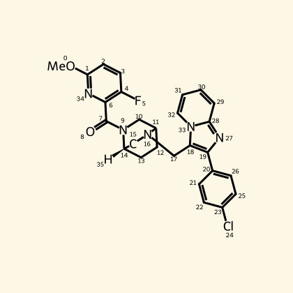 COc1ccc(F)c(C(=O)N2CC3CC[C@H]2CN3Cc2c(-c3ccc(Cl)cc3)nc3ccccn23)n1